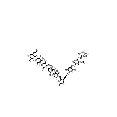 CC#Cc1c[nH]c(=O)nc1N.Cc1c[nH]c(=O)nc1N.Nc1cc[nH]c(=O)n1.Nc1nc(=O)[nH]cc1Br.Nc1nc(=O)[nH]cc1Cl.Nc1nc(=O)[nH]cc1F.Nc1nc(=O)[nH]cc1I.O=c1[nH]cc(C=CBr)c(=O)[nH]1.O=c1[nH]cc(F)c(=O)[nH]1